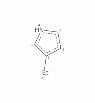 CCc1cc[nH]c1